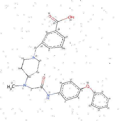 CN(CC(=O)Nc1ccc(Oc2ccccc2)cc1)C1CCN(Cc2cccc(C(=O)O)c2)CC1